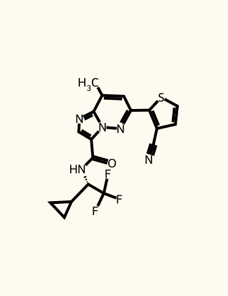 Cc1cc(-c2sccc2C#N)nn2c(C(=O)N[C@@H](C3CC3)C(F)(F)F)cnc12